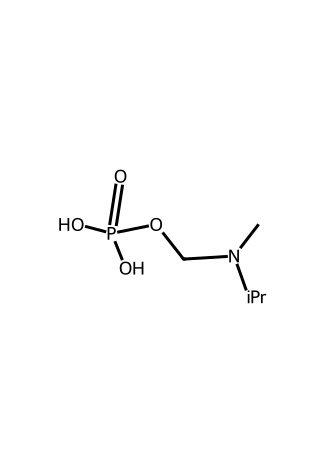 CC(C)N(C)COP(=O)(O)O